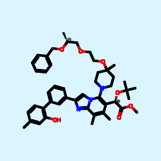 COC(=O)[C@@H](OC(C)(C)C)c1c(C)c(C)c2nc(-c3cccc(-c4ccc(C)cc4O)c3)cn2c1N1CCC(C)(OCCOC[C@@H](C)OCc2ccccc2)CC1